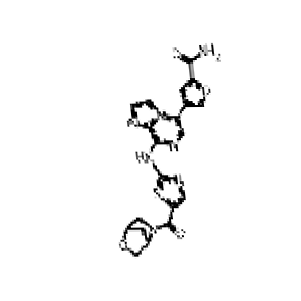 NC(=O)c1cc(-c2cnc(Nc3ncc(C(=O)N4CC5CC4CO5)s3)c3nccn23)co1